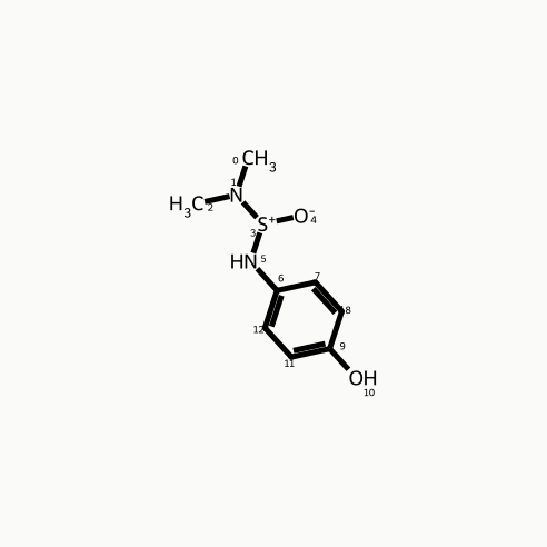 CN(C)[S+]([O-])Nc1c[c]c(O)cc1